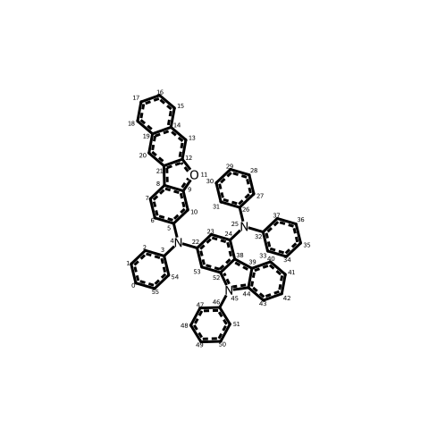 c1ccc(N(c2ccc3c(c2)oc2cc4ccccc4cc23)c2cc(N(c3ccccc3)c3ccccc3)c3c4ccccc4n(-c4ccccc4)c3c2)cc1